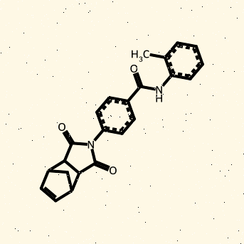 Cc1ccccc1NC(=O)c1ccc(N2C(=O)C3C4C=CC(C4)C3C2=O)cc1